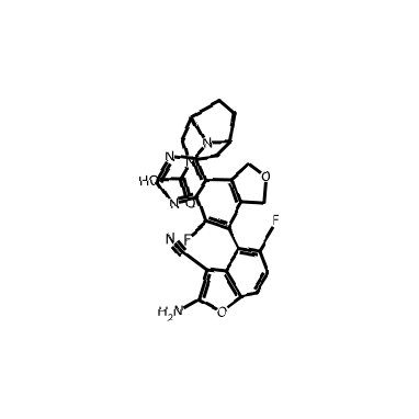 N#Cc1c(N)oc2ccc(F)c(-c3c4c(c5c(N6C7CCC6CN(C(=O)O)C7)ncnc5c3F)COC4)c12